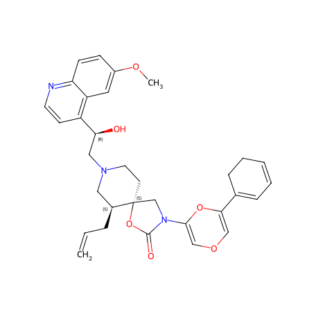 C=CC[C@H]1CN(C[C@H](O)c2ccnc3ccc(OC)cc23)CC[C@@]12CN(C1=COC=C(C3=CC=CCC3)O1)C(=O)O2